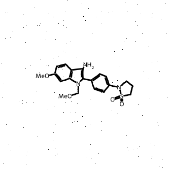 COCn1c(-c2ccc(N3CCCS3(=O)=O)cc2)c(N)c2ccc(OC)cc21